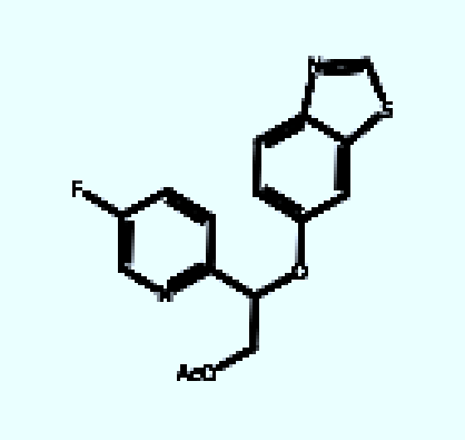 CC(=O)OCC(Oc1ccc2ncsc2c1)c1ccc(F)cn1